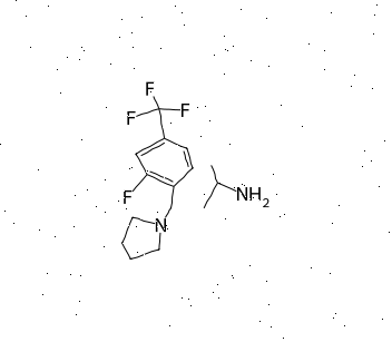 CC(C)N.Fc1cc(C(F)(F)F)ccc1CN1CCCC1